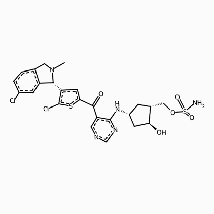 CN1Cc2ccc(Cl)cc2[C@H]1c1cc(C(=O)c2cncnc2N[C@@H]2C[C@H](COS(N)(=O)=O)[C@@H](O)C2)sc1Cl